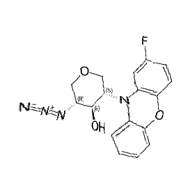 [N-]=[N+]=N[C@@H]1COC[C@H](N2c3ccccc3Oc3ccc(F)cc32)[C@H]1O